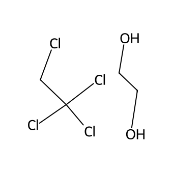 ClCC(Cl)(Cl)Cl.OCCO